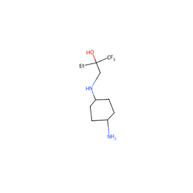 CCC(O)(CNC1CCC(N)CC1)C(F)(F)F